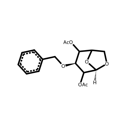 CC(=O)OC1C2CO[C@H](O2)C(OC(C)=O)[C@H]1OCc1ccccc1